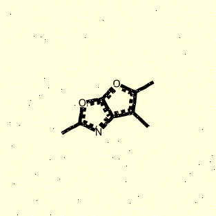 Cc1nc2c(C)c(C)oc2o1